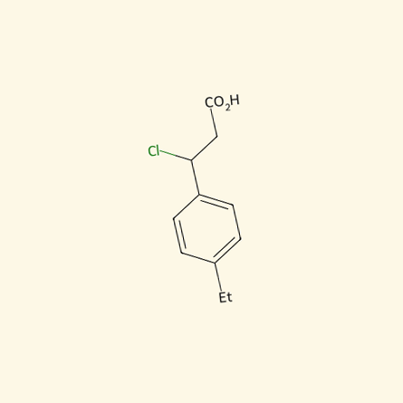 CCc1ccc(C(Cl)CC(=O)O)cc1